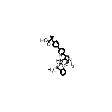 C[C@@H](OC(=O)Nc1c(-c2ccc(-c3ccc(C4(C(=O)O)CC4)cc3)cn2)cnn1C)c1ccccc1